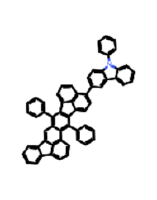 c1ccc(-c2c3cc4c5ccccc5c5cccc(c3c(-c3ccccc3)c3c6ccc(-c7ccc8c(c7)c7ccccc7n8-c7ccccc7)c7cccc(c23)c76)c54)cc1